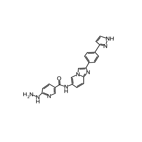 NNc1ccc(C(=O)Nc2ccc3nc(-c4ccc(-c5cc[nH]n5)cc4)cn3c2)cn1